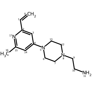 C=Cc1cc(N2CCN(CCN)CC2)cc(C)n1